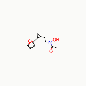 CC(=O)N(O)CCC1CC1c1ccco1